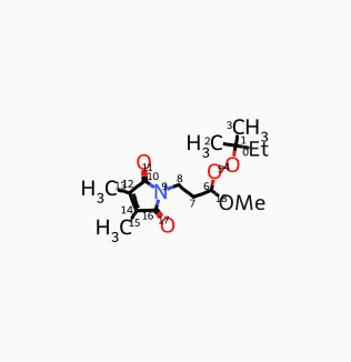 CCC(C)(C)OOC(CCN1C(=O)C(C)=C(C)C1=O)OC